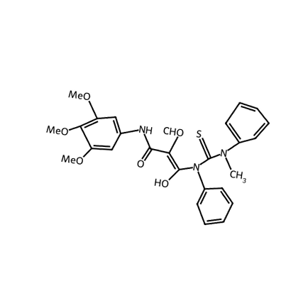 COc1cc(NC(=O)/C(C=O)=C(\O)N(C(=S)N(C)c2ccccc2)c2ccccc2)cc(OC)c1OC